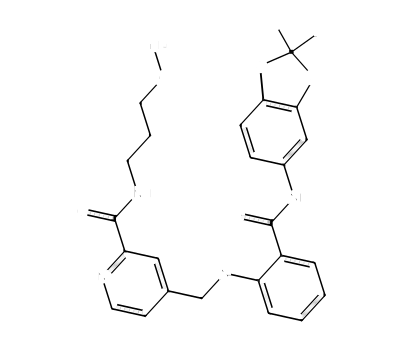 CCCCOCCCNC(=O)c1cc(CNc2ccccc2C(=O)Nc2ccc3c(c2)OC(F)(F)O3)ccn1